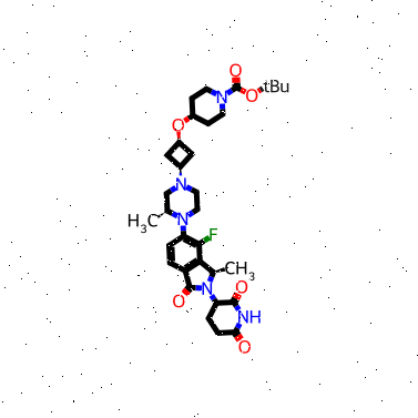 C[C@@H]1CN([C@H]2C[C@H](OC3CCN(C(=O)OC(C)(C)C)CC3)C2)CCN1c1ccc2c(c1F)[C@@H](C)N(C1CCC(=O)NC1=O)C2=O